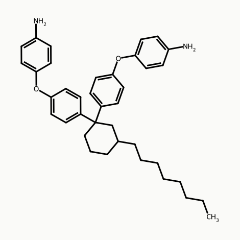 CCCCCCCCC1CCCC(c2ccc(Oc3ccc(N)cc3)cc2)(c2ccc(Oc3ccc(N)cc3)cc2)C1